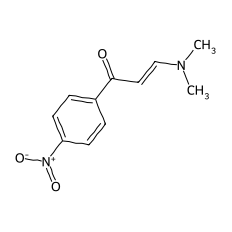 CN(C)C=CC(=O)c1ccc([N+](=O)[O-])cc1